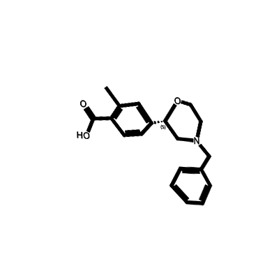 Cc1cc([C@H]2CN(Cc3ccccc3)CCO2)ccc1C(=O)O